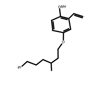 [CH]=Cc1cc(OCCC(C)CCCC(C)C)[c]cc1OC